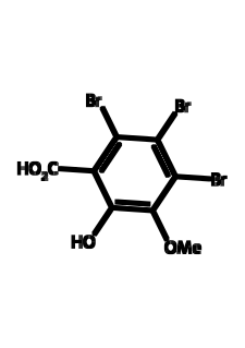 COc1c(O)c(C(=O)O)c(Br)c(Br)c1Br